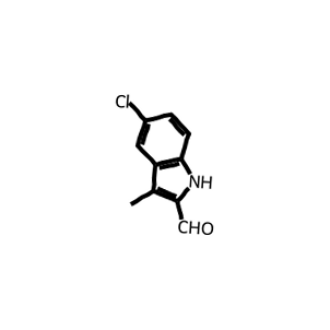 Cc1c(C=O)[nH]c2ccc(Cl)cc12